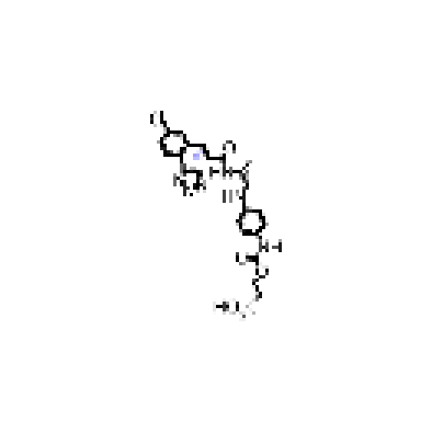 C[C@@H](CNc1ccc(NC(=O)OCCC(=O)O)cc1)NC(=O)/C=C/c1cc(Cl)ccc1-n1cnnn1